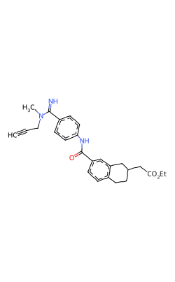 C#CCN(C)C(=N)c1ccc(NC(=O)c2ccc3c(c2)CC(CC(=O)OCC)CC3)cc1